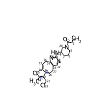 C=CC(=O)N1CCCC(Nc2ncc3c(n2)CC=CC(/C(CCl)=C(/C)Cl)=C\C3)C1